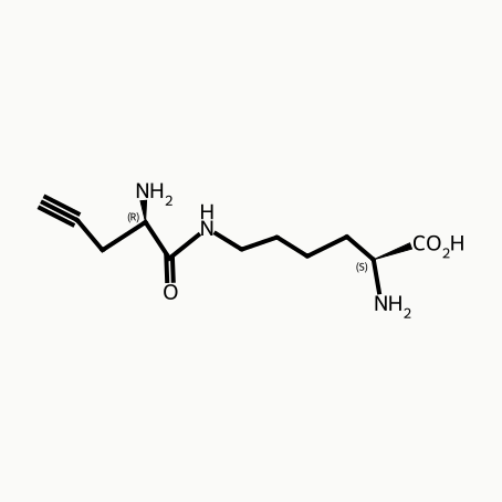 C#CC[C@@H](N)C(=O)NCCCC[C@H](N)C(=O)O